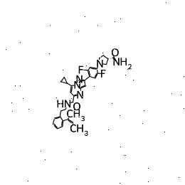 C/C=C(/C)c1ccccc1CCNC(=O)c1cc(C2CC2)n2nc(-c3cc(F)c(N4CC[C@H](C(N)=O)C4)cc3F)cc2n1